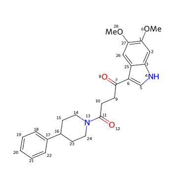 COc1cc2[nH]cc(C(=O)CCC(=O)N3CCC(c4ccccc4)CC3)c2cc1OC